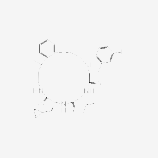 CC1CCNC(=O)[C@H](CC2CC2)NC(=O)[C@@H](C(C)C)NC(=O)[C@@H](Cc2cccc(F)c2)NCCOc2ccccc21